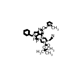 CN1CCC[C@H]1COc1nc2c(c(N3CCN(C(=O)OC(C)(C)C)[C@@H](CC#N)C3)n1)C(C(F)(F)F)N(Cc1ccccc1)C2